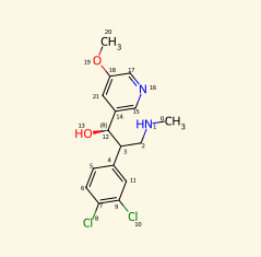 CNCC(c1ccc(Cl)c(Cl)c1)[C@@H](O)c1cncc(OC)c1